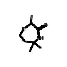 CC1CCCC(C)(C)NC1=O